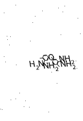 Cc1ccc(Oc2ccc(C)c(C(N)N)c2)cc1C(N)N